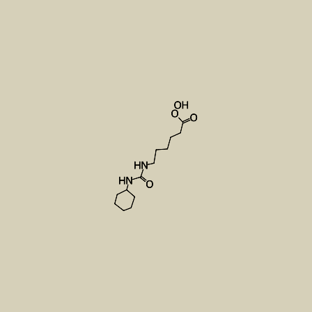 O=C(NCCCCCC(=O)OO)NC1CCCCC1